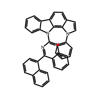 c1ccc(-n2ccc3ccc4c5ccccc5n(-c5nc(-c6cccc7ccccc67)c6ccccc6n5)c4c32)cc1